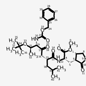 COC(=O)[C@H](C[C@@H]1CCNC1=O)NC(=O)[C@@H](CC(=O)[C@@H](NC(=O)OCc1ccccc1)[C@@H](C)OC(C)(C)C)CC(C)C